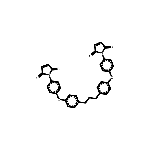 O=C1C=CC(=O)N1c1ccc(Oc2ccc(CCCc3ccc(Oc4ccc(N5C(=O)C=CC5=O)cc4)cc3)cc2)cc1